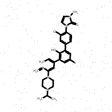 C=N/C(=C\C(=C/C)c1cc(F)cc(-c2ccc(-n3ccn(C)c3=O)c(Cl)c2)c1O)N1CCN(C(C)C)CC1